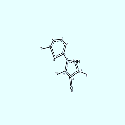 Cc1cccc(-c2[nH]n(C)c(=O)c2C)c1